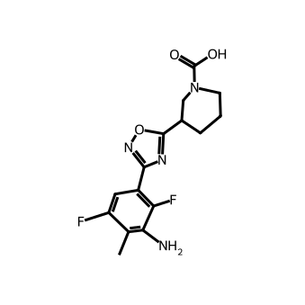 Cc1c(F)cc(-c2noc(C3CCCN(C(=O)O)C3)n2)c(F)c1N